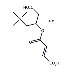 C[N+](C)(C)CC(CC(=O)O)OC(=O)/C=C/C(=O)O.[Zn+2]